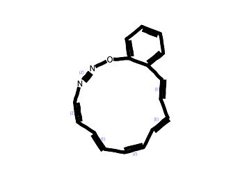 C1=C\C=C\C=C\c2ccccc2O/N=N\C=C/C=C/1